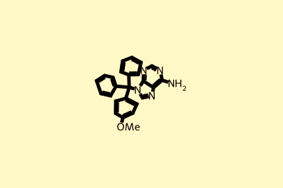 COc1ccc(C(c2ccccc2)(c2ccccc2)n2cnc3c(N)ncnc32)cc1